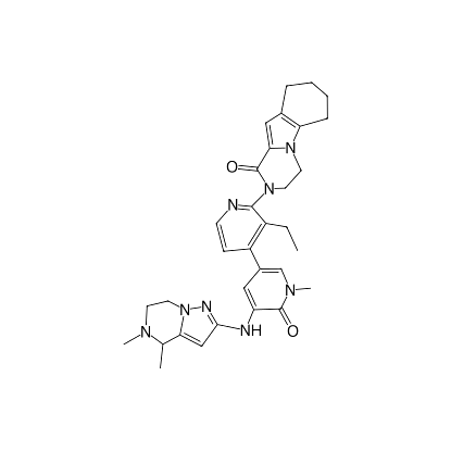 CCc1c(-c2cc(Nc3cc4n(n3)CCN(C)C4C)c(=O)n(C)c2)ccnc1N1CCn2c(cc3c2CCCC3)C1=O